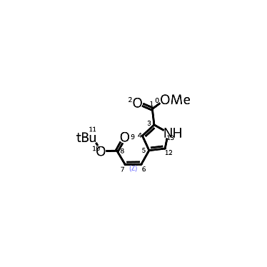 COC(=O)c1cc(/C=C\C(=O)OC(C)(C)C)c[nH]1